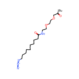 CC(C)(C)C(=O)COCCOCCNC(=O)CCCCCCCCCN=[N+]=[N-]